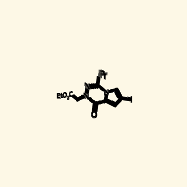 CCOC(=O)Cn1nc(C(C)C)n2cc(I)cc2c1=O